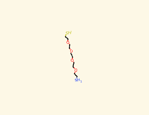 NCCOCCOCCOCCOCCS